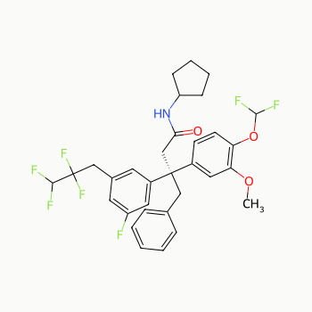 COc1cc([C@@](CC(=O)NC2CCCC2)(Cc2ccccc2)c2cc(F)cc(CC(F)(F)C(F)F)c2)ccc1OC(F)F